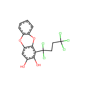 Oc1cc2c(c(C(Cl)(Cl)CCC(Cl)(Cl)Cl)c1O)Oc1ccccc1O2